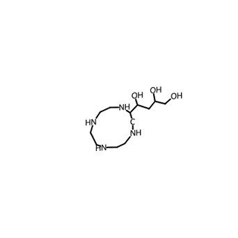 OCC(O)CC(O)C1CNCCNCCNCCN1